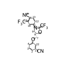 N#Cc1cccc(OC[C@@H]2CN(c3ccc(C#N)c(C(F)(F)F)c3)[C@@H](C(F)(F)F)O2)c1